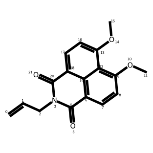 C=CCN1C(=O)c2ccc(OC)c3c(OC)ccc(c23)C1=O